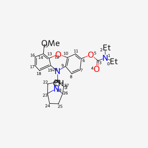 CCN(CC)C(=O)Oc1ccc2c(c1)Oc1c(OC)cccc1N2C1CC2CCC(C1)N2C